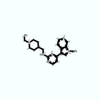 CC(C)CN1CCC(CNc2nccc(-c3cn(C(C)C)c4cnccc34)n2)CC1